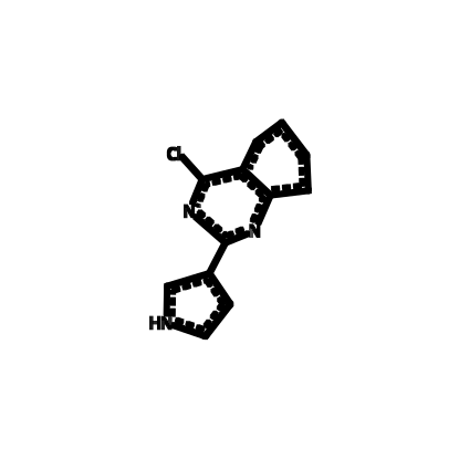 Clc1nc(-c2cc[nH]c2)nc2ccccc12